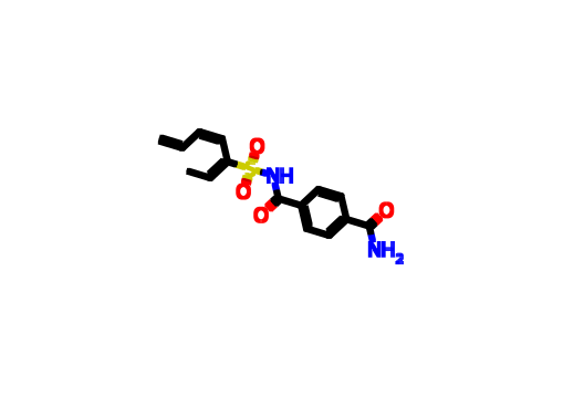 C=C/C=C\C(=C/C)S(=O)(=O)NC(=O)c1ccc(C(N)=O)cc1